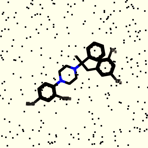 [CH2]C(Cc1cc(C(F)(F)F)cc(C(F)(F)F)c1)(c1ccccc1)N1CCN(c2ccc(OC)cc2OC)CC1